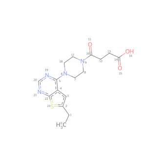 CCc1cc2c(N3CCN(C(=O)CCC(=O)O)CC3)ncnc2s1